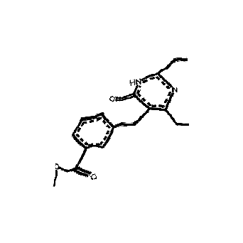 CCc1nc(CC)c(Cc2cccc(C(=O)OC)c2)c(=O)[nH]1